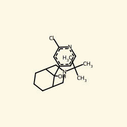 CC(C)(C)N1CC2CCCC(C1)C2(O)c1ccnc(Cl)c1